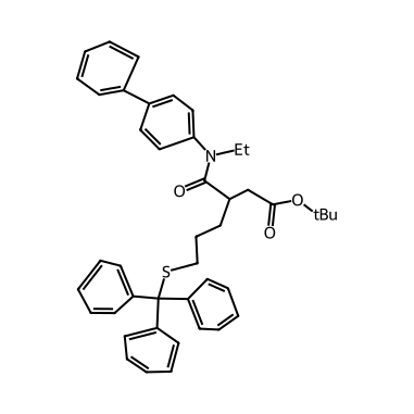 CCN(C(=O)C(CCCSC(c1ccccc1)(c1ccccc1)c1ccccc1)CC(=O)OC(C)(C)C)c1ccc(-c2ccccc2)cc1